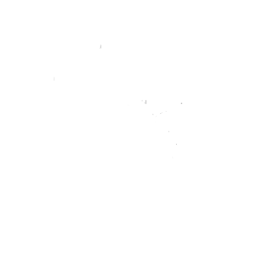 CC(C)c1cc(OCC(=O)NC23CCC(NC(=O)COc4ccc(Cl)c(F)c4)(CC2)C[C@@H]3O)cc(C(C)C)c1